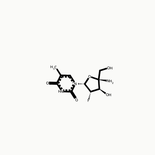 Cc1cn([C@@H]2O[C@](N)(CO)[C@@H](O)[C@@H]2F)c(=O)[nH]c1=O